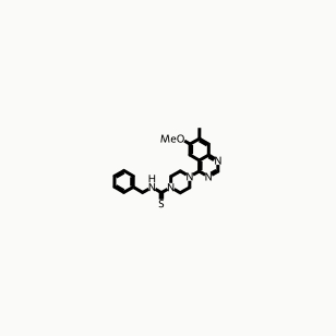 COc1cc2c(N3CCN(C(=S)NCc4ccccc4)CC3)ncnc2cc1C